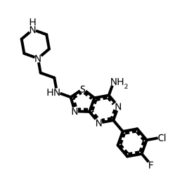 Nc1nc(-c2ccc(F)c(Cl)c2)nc2nc(NCCN3CCNCC3)sc12